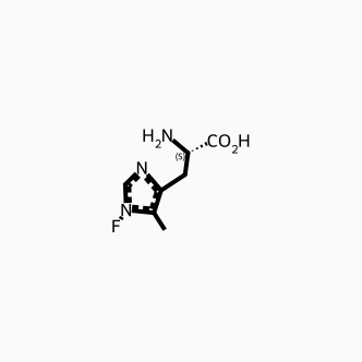 Cc1c(C[C@H](N)C(=O)O)ncn1F